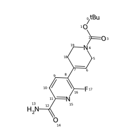 CC(C)(C)OC(=O)N1CC=C(c2ccc(C(N)=O)nc2F)CC1